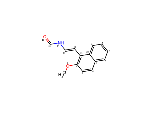 COc1ccc2ccccc2c1C=CNC=O